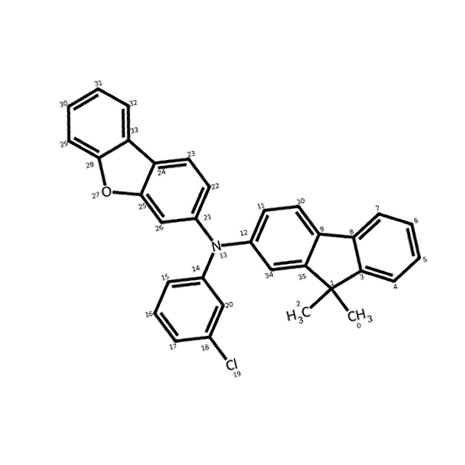 CC1(C)c2ccccc2-c2ccc(N(c3cccc(Cl)c3)c3ccc4c(c3)oc3ccccc34)cc21